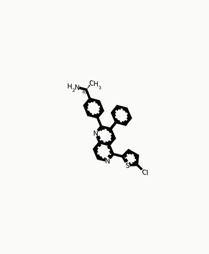 C[C@@H](N)c1ccc(-c2nc3ccnc(-c4ccc(Cl)s4)c3cc2-c2ccccc2)cc1